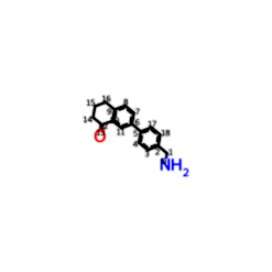 NCc1ccc(-c2ccc3c(c2)C(=O)CCC3)cc1